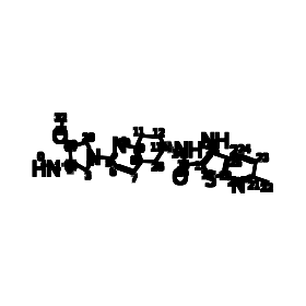 CN[C@H]1CN(c2ccc3c(n2)CC[C@H](NC(=O)c2sc4nc(C)ccc4c2N)C3)C[C@@H]1OC